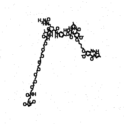 COc1cc2c(cc1OCCCCCOc1cc3c(cc1OC)C(=O)N1C=C(C)C[C@H]1[C@H](O)N3C(=O)OCc1ccc(NC(=O)[C@H](CCCNC(N)=O)NC(=O)[C@@H](NC(=O)CCOCCOCCOCCOCCOCCOCCOCCOCCNC(=O)CCN3C(=O)C=CC3=O)C(C)C)cc1)N=C[C@@H]1CC(C)=CN1C2=O